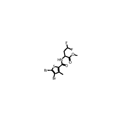 COC(=O)C(CC(F)F)NC(=O)c1sc(Br)c(Br)c1C